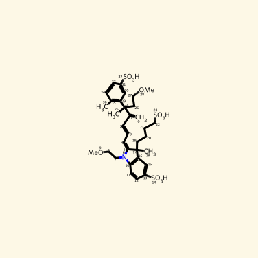 C=C(/C=C/C=C1/N(CCOC)c2ccc(S(=O)(=O)O)cc2C1(C)CCCCS(=O)(=O)O)C(C)(CCOC)c1cc(S(=O)(=O)O)ccc1C